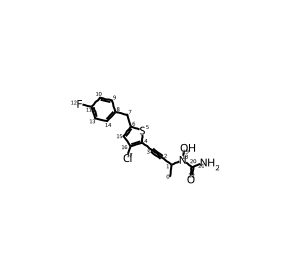 CC(C#Cc1sc(Cc2ccc(F)cc2)cc1Cl)N(O)C(N)=O